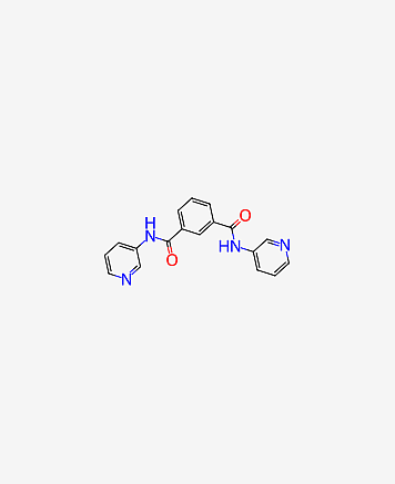 O=C(Nc1cccnc1)c1cccc(C(=O)Nc2cccnc2)c1